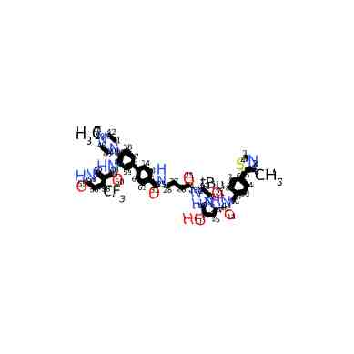 Cc1ncsc1-c1ccc(CNC(=O)[C@@H]2C[C@H](O)CN2C(=O)[C@@H](NC(=O)CCCNC(=O)c2ccc(-c3ccc(N4CCN(C)CC4)c(NC(=O)c4c[nH]c(=O)cc4C(F)(F)F)c3)cc2)C(C)(C)C)cc1